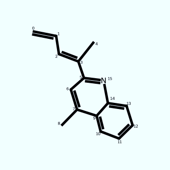 C=C/C=C(\C)c1cc(C)c2ccccc2n1